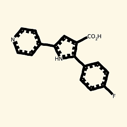 O=C(O)c1cc(-c2ccncc2)[nH]c1-c1ccc(F)cc1